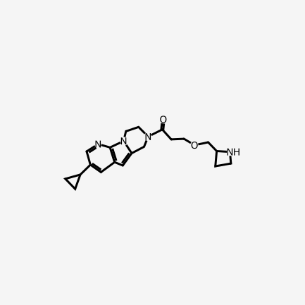 O=C(CCOCC1CCN1)N1CCn2c(cc3cc(C4CC4)cnc32)C1